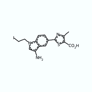 Cc1nc(-c2ccc3c(c2)c(N)cn3CCI)sc1C(=O)O